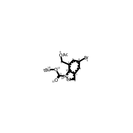 CC(=O)OCc1cc(Br)cc2cnn(C(=O)OC(C)(C)C)c12